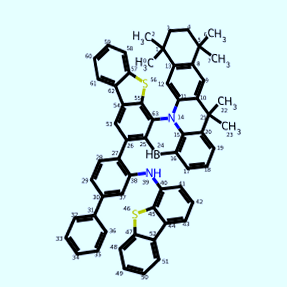 CC1(C)CCC(C)(C)c2cc3c(cc21)N1c2c(cccc2C3(C)C)Bc2c(-c3ccc(-c4ccccc4)cc3Nc3cccc4c3sc3ccccc34)cc3c(sc4ccccc43)c21